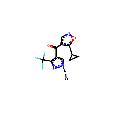 CCn1cc(C(=O)c2cnoc2C2CC2)c(C(F)(F)F)n1